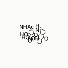 CC(=O)Nc1ccc([As](=O)(O)O)c(O)c1.Nc1cccc2c1C(=O)c1ccccc1C2=O